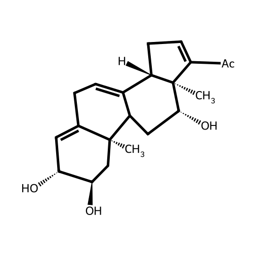 CC(=O)C1=CC[C@H]2C3=CCC4=C[C@@H](O)[C@H](O)C[C@]4(C)C3C[C@@H](O)[C@]12C